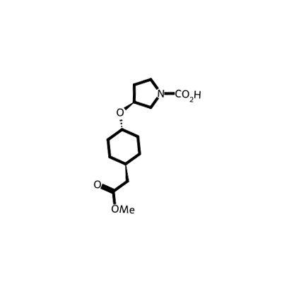 COC(=O)C[C@H]1CC[C@H](O[C@H]2CCN(C(=O)O)C2)CC1